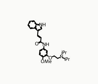 COc1ccc(NC(=O)C=Cc2c[nH]c3ccccc23)cc1OCCN(C(C)C)C(C)C